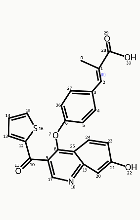 C/C(=C\c1ccc(Oc2c(C(=O)c3cccs3)cnc3cc(O)ccc23)cc1)C(=O)O